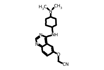 CN(C)C1CCC(Nc2ncnc3ccc(OCC#N)cc23)CC1